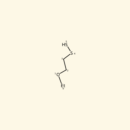 CCOCCSS